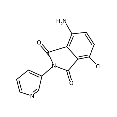 Nc1ccc(Cl)c2c1C(=O)N(c1cccnc1)C2=O